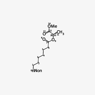 CCCCCCCCCCCCCCCC(=O)O[C@H](C)C(=O)OC